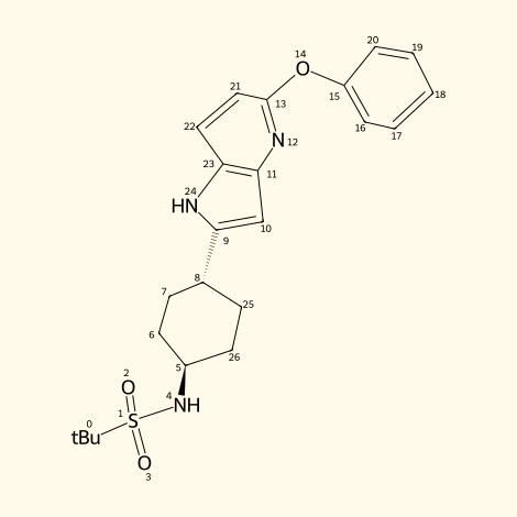 CC(C)(C)S(=O)(=O)N[C@H]1CC[C@H](c2cc3nc(Oc4ccccc4)ccc3[nH]2)CC1